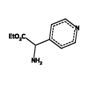 CCOC(=O)C(N)c1ccncc1